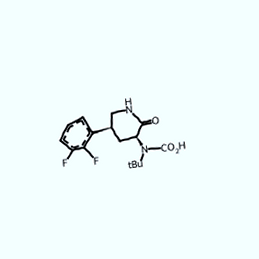 CC(C)(C)N(C(=O)O)[C@H]1C[C@@H](c2cccc(F)c2F)CNC1=O